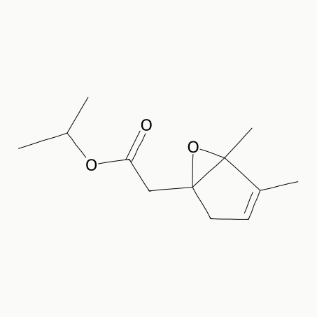 CC1=CCC2(CC(=O)OC(C)C)OC12C